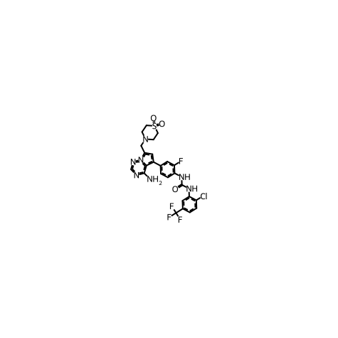 Nc1ncnn2c(CN3CCS(=O)(=O)CC3)cc(-c3ccc(NC(=O)Nc4cc(C(F)(F)F)ccc4Cl)c(F)c3)c12